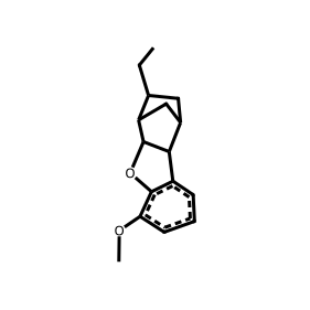 CCC1CC2CC1C1Oc3c(OC)cccc3C21